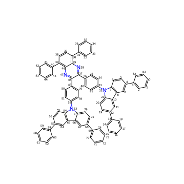 c1ccc(-c2ccc3c(c2)c2cc(-c4ccccc4)ccc2n3-c2ccc(-c3nc4c(-c5ccccc5)ccc(-c5ccccc5)c4nc3-c3ccc(-n4c5ccc(-c6ccccc6)cc5c5cc(-c6ccccc6)ccc54)cc3)cc2)cc1